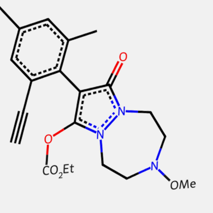 C#Cc1cc(C)cc(C)c1-c1c(OC(=O)OCC)n2n(c1=O)CCN(OC)CC2